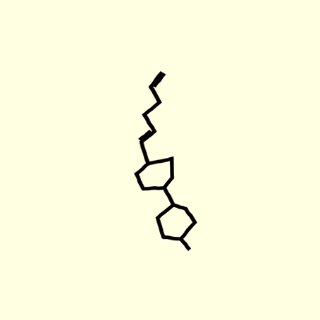 C=CCC/C=C/C1CCC(C2CCC(C)CC2)CC1